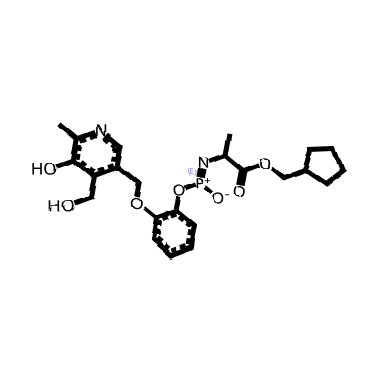 Cc1ncc(COc2ccccc2O/[P+]([O-])=N/C(C)C(=O)OCC2CCCC2)c(CO)c1O